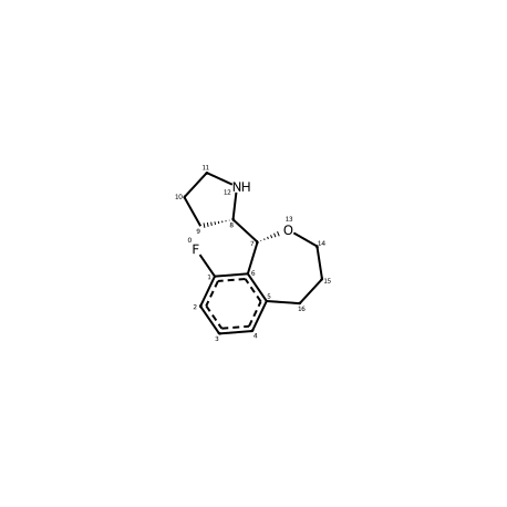 Fc1cccc2c1[C@H]([C@@H]1CCCN1)OCCC2